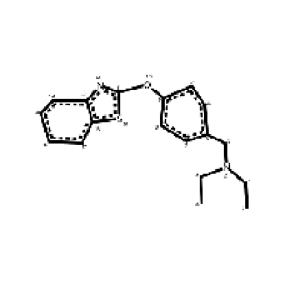 CCN(CC)Cc1ccc(Oc2nc3ccccc3s2)cc1